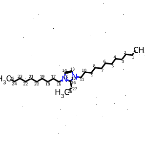 CCCCCCCCCCCCN1C=CN(CCCCCCCCCC)C1CC